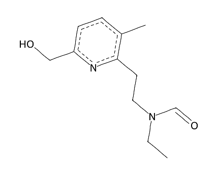 CCN(C=O)CCc1nc(CO)ccc1C